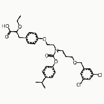 CCOC(Cc1ccc(OCCN(CCCOCc2cc(Cl)cc(Cl)c2)C(=O)Oc2ccc(C(C)C)cc2)cc1)C(=O)O